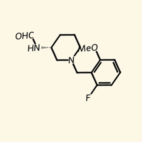 COc1cccc(F)c1CN1CCC[C@@H](NC=O)C1